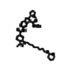 Cc1nn(CCCCCCCCOC2CCCCO2)c2cc(C(=O)Nc3cc4c(cn3)cc([C@H]3CCCN3C)n4C(=O)OC(C)(C)C)ccc12